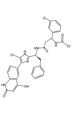 CCC(=O)NC(CC(=O)N[C@@H](Cc1ccccc1)c1nc(-c2ccc3[nH]c(=O)cc(O)c3c2)c(Cl)[nH]1)c1cccc(Cl)c1